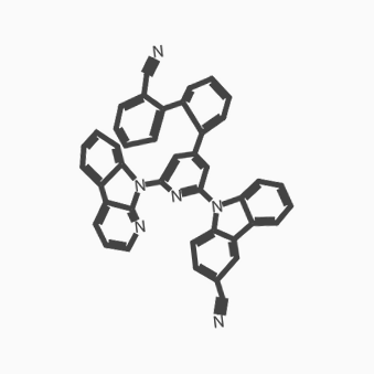 N#Cc1ccc2c(c1)c1ccccc1n2-c1cc(-c2ccccc2-c2ccccc2C#N)cc(-n2c3ccccc3c3cccnc32)n1